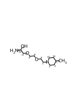 CC1CCN(CCOCCOCC(N)O)CC1